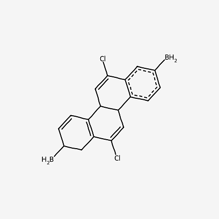 Bc1ccc2c(c1)C(Cl)=CC1C3=C(CC(B)C=C3)C(Cl)=CC21